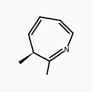 CC1=NC=CC=C[C@@H]1C